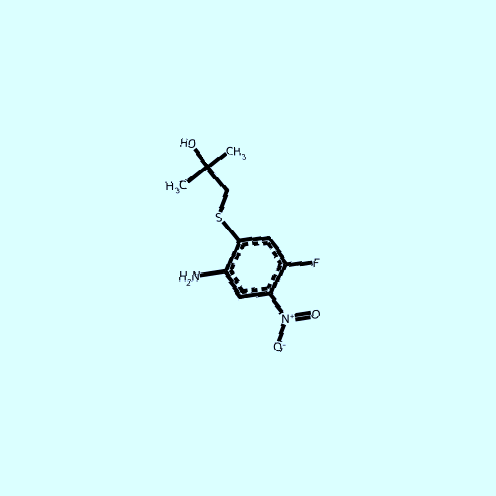 CC(C)(O)CSc1cc(F)c([N+](=O)[O-])cc1N